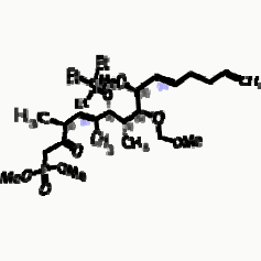 C=CCC/C=C/[C@H](OC)[C@@H](OCOC)[C@H](C)[C@@H](O[Si](CC)(CC)CC)/C(C)=C/[C@H](C)C(=O)CP(=O)(OC)OC